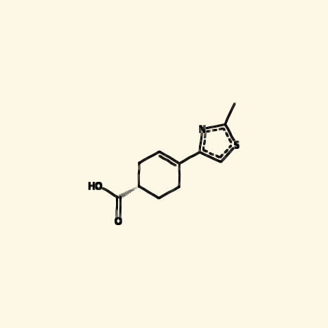 Cc1nc(C2=CC[C@@H](C(=O)O)CC2)cs1